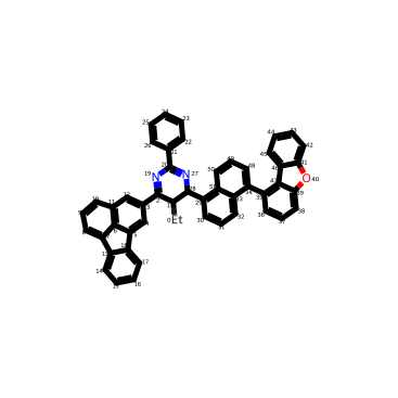 CCC1C(c2cc3c4c(cccc4c2)-c2ccccc2-3)=NC(c2ccccc2)=NC1c1cccc2c(-c3cccc4oc5ccccc5c34)cccc12